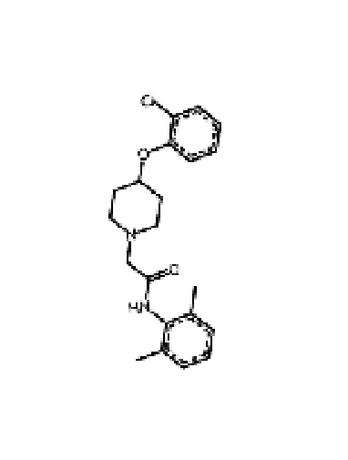 Cc1cccc(C)c1NC(=O)CN1CCC(Oc2ccccc2Cl)CC1